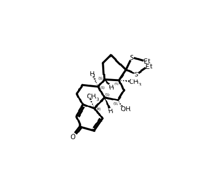 CCSC1(SCC)CC[C@H]2[C@@H]3CCC4=CC(=O)C=C[C@]4(C)[C@H]3[C@@H](O)C[C@@]21C